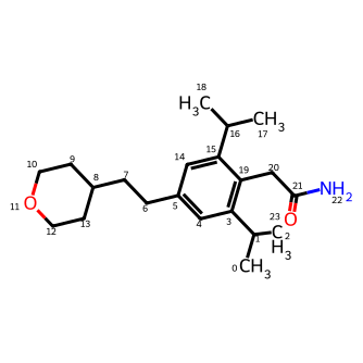 CC(C)c1cc(CCC2CCOCC2)cc(C(C)C)c1CC(N)=O